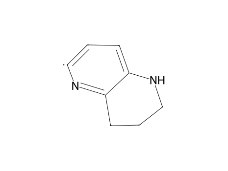 [c]1ccc2c(n1)CCCN2